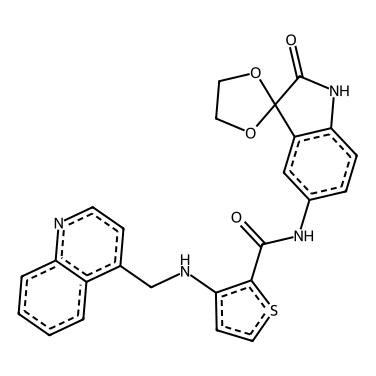 O=C(Nc1ccc2c(c1)C1(OCCO1)C(=O)N2)c1sccc1NCc1ccnc2ccccc12